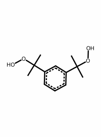 CC(C)(OO)c1cccc(C(C)(C)OO)c1